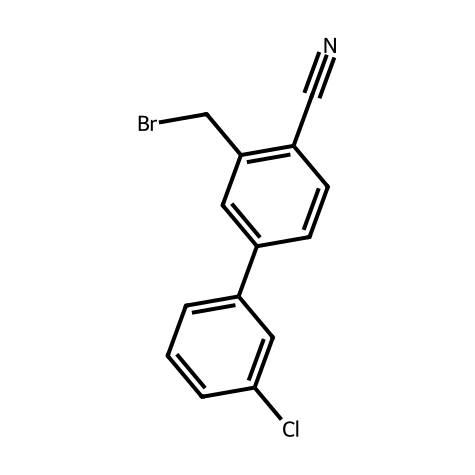 N#Cc1ccc(-c2cccc(Cl)c2)cc1CBr